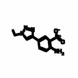 CCn1cc(-c2ccc(N)c([N+](=O)[O-])c2)nn1